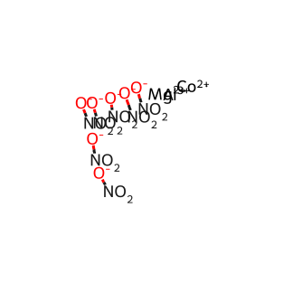 O=[N+]([O-])[O-].O=[N+]([O-])[O-].O=[N+]([O-])[O-].O=[N+]([O-])[O-].O=[N+]([O-])[O-].O=[N+]([O-])[O-].O=[N+]([O-])[O-].[Al+3].[Co+2].[Mg+2]